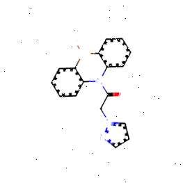 O=C(Cn1cccn1)N1c2ccccc2[S+]([O-])c2ccccc21